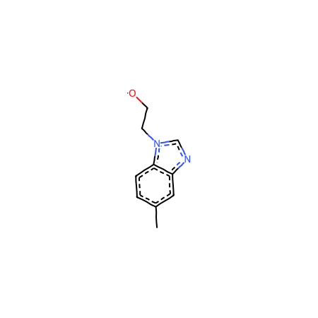 Cc1ccc2c(c1)ncn2CC[O]